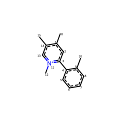 Cc1cc(-c2ccccc2C)[n+](C)cc1C